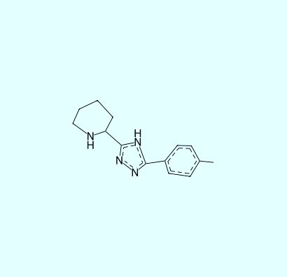 Cc1ccc(-c2nnc(C3CCCCN3)[nH]2)cc1